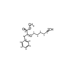 C#CCCCCOC(Cc1ccccc1)C(=O)OC